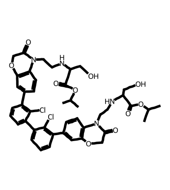 CC(C)OC(=O)C(CO)NCCN1C(=O)COc2cc(-c3cccc(-c4cccc(-c5ccc6c(c5)OCC(=O)N6CCNC(CO)C(=O)OC(C)C)c4Cl)c3Cl)ccc21